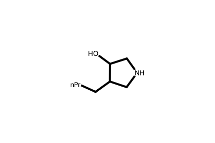 CCCCC1CNCC1O